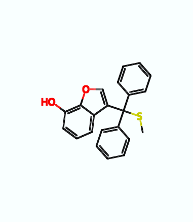 CSC(c1ccccc1)(c1ccccc1)c1coc2c(O)cccc12